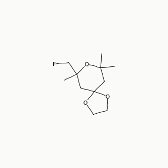 CC1(C)CC2(CC(C)(CF)O1)OCCO2